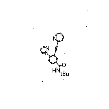 CC(C)(C)NC(=O)c1ccc(-n2cccn2)c(C#Cc2ccccn2)c1